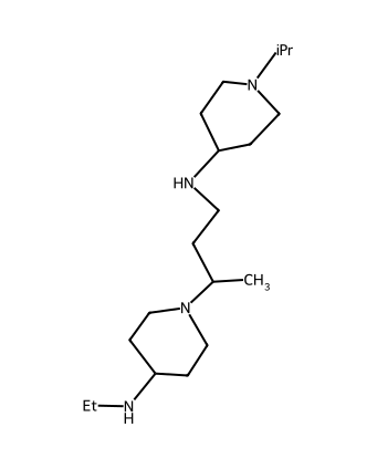 CCNC1CCN(C(C)CCNC2CCN(C(C)C)CC2)CC1